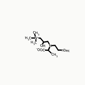 CCCCCCCCCCCCN(CC(O)C[N+](C)(C)C)C(C)C(=O)[O-]